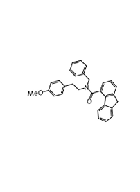 COc1ccc(CCN(Cc2ccccc2)C(=O)c2cccc3c2-c2ccccc2C3)cc1